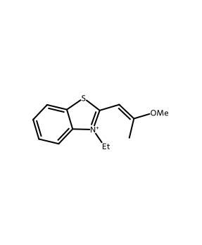 CC[n+]1c(C=C(C)OC)sc2ccccc21